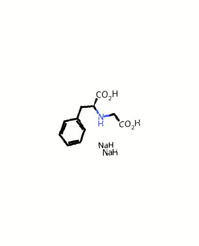 O=C(O)CN[C@@H](Cc1ccccc1)C(=O)O.[NaH].[NaH]